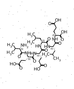 CC(C)C[C@H](NC(=O)[C@H](CC(C)C)NC(=O)[C@H](CCC(=O)O)NC(=O)[C@H](CCC(=O)O)NC(=O)[C@@H](N)C(C)C)C(=O)N[C@@H](CCC(=O)O)C(=O)O